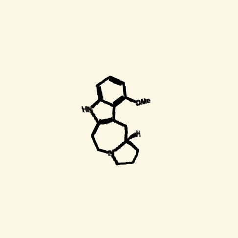 COc1cccc2[nH]c3c(c12)C[C@@H]1CCCN1CC3